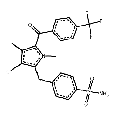 Cc1c(Cl)c(Cc2ccc(S(N)(=O)=O)cc2)n(C)c1C(=O)c1ccc(C(F)(F)F)cc1